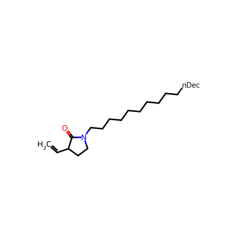 C=CC1CCN(CCCCCCCCCCCCCCCCCCCC)C1=O